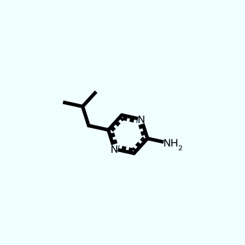 CC(C)Cc1cnc(N)cn1